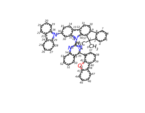 CC1(C)c2ccccc2-c2ccc3c4ccc(-n5c6ccccc6c6ccccc65)cc4n(-c4nc(-c5cccc6c5oc5ccccc56)c5ccccc5n4)c3c21